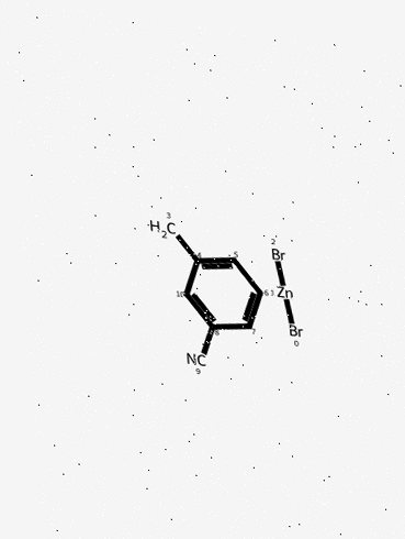 [Br][Zn][Br].[CH2]c1cccc(C#N)c1